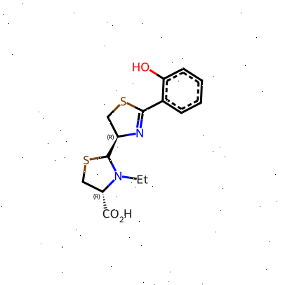 CCN1C([C@H]2CSC(c3ccccc3O)=N2)SC[C@H]1C(=O)O